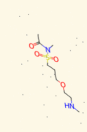 CNCCOCCCS(=O)(=O)N(C)C(C)=O